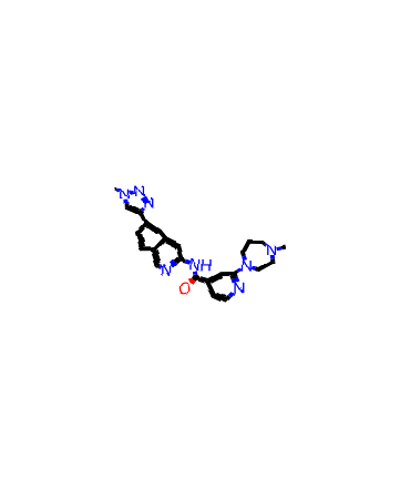 CN1CCCN(c2cc(C(=O)Nc3cc4cc(-c5cn(C)nn5)ccc4cn3)ccn2)CC1